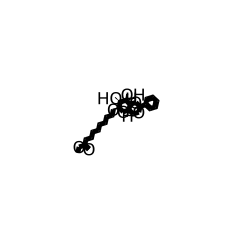 COC(=O)CCCCCCCCO[C@@H]1O[C@@H]2COC(c3ccccc3)O[C@@H]2[C@H](O)[C@H]1O